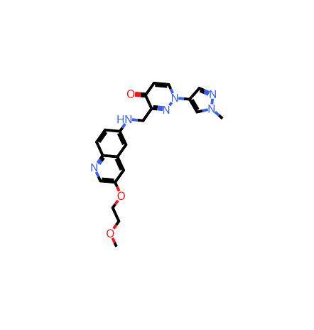 COCCOc1cnc2ccc(NCc3nn(-c4cnn(C)c4)ccc3=O)cc2c1